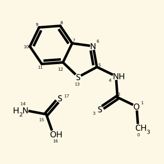 COC(=S)Nc1nc2ccccc2s1.NC(O)=S